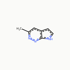 Cc1cc2cc[nH]c2nn1